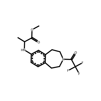 COC(=O)C(C)Nc1ccc2c(c1)CCN(C(=O)C(F)(F)F)CC2